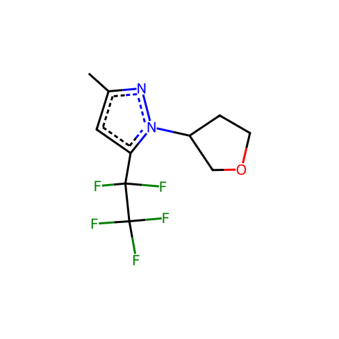 Cc1cc(C(F)(F)C(F)(F)F)n(C2CCOC2)n1